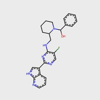 OC(c1ccccc1)N1CCCCC1CNc1nc(-c2c[nH]c3ncccc23)ncc1F